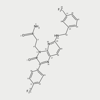 NC(=O)CCn1c(=O)c(-c2ccc(C(F)(F)F)cc2)nc2ccc(NCc3cccc(C(F)(F)F)c3)nc21